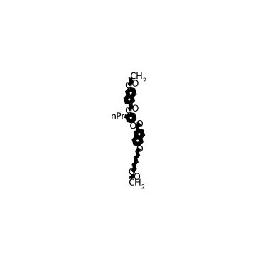 C=CC(=O)OCCCCCCOc1ccc2cc(C(=O)Oc3ccc(OC(=O)c4ccc5cc(OC(=O)C=C)ccc5c4)c(CCC)c3)ccc2c1